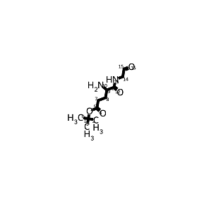 CC(C)(C)OC(=O)CCC(N)C(=O)NCC=O